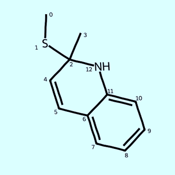 CSC1(C)C=Cc2ccccc2N1